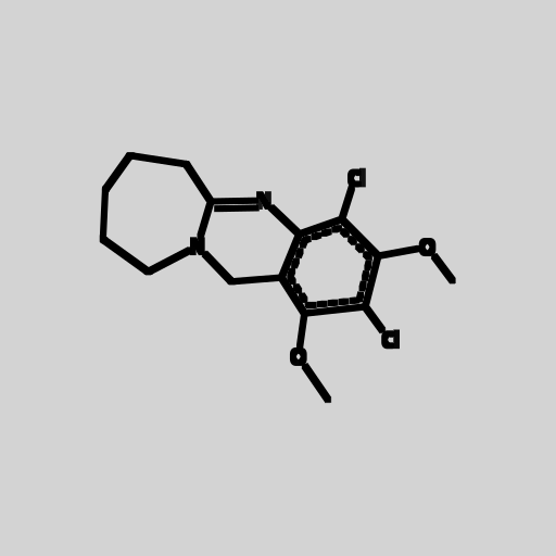 COc1c(Cl)c2c(c(OC)c1Cl)CN1CCCCCC1=N2